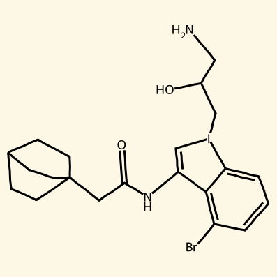 NCC(O)CI1C=C(NC(=O)CC23CCC(CC2)CC3)c2c(Br)cccc21